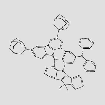 CC1(C)c2ccccc2-c2c1c1cccc3c1n2-c1cc(N(c2ccccc2)c2ccccc2)cc2c1B3n1c3ccc(C45CCC6CC(CC6C4)C5)cc3c3cc(C45CCC6CC(CC6C4)C5)cc-2c31